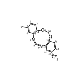 Cc1ccc2c(c1)N=C=Nc1cc(C(F)(F)F)ccc1OCO2